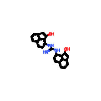 N=C(Nc1ccc2cccc3c2c1C(O)=C3)Nc1ccc2cccc3c2c1C(O)=C3